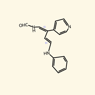 O=CN/C=C(\C=C\Nc1ccccc1)c1ccncc1